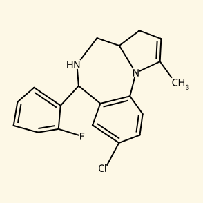 CC1=CCC2CNC(c3ccccc3F)c3cc(Cl)ccc3N12